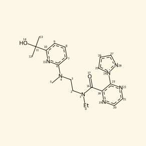 CCN(CCN(C)c1cccc(C(C)(C)O)n1)C(=O)c1nccnc1-n1cccn1